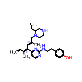 C=C/C(C)=C(\C=C(/C)CN1CCNCC1CC)c1ccnc(NCCc2ccc(O)cc2)n1